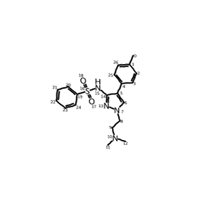 Cc1ccc(-c2cn(CCN(C)C)nc2NS(=O)(=O)c2ccccc2)cc1